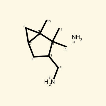 CC1(C)C(CN)CC2CC21C.N